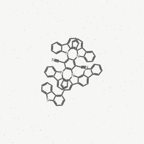 N#Cc1c(-n2c3ccccc3c3ccccc32)c(-n2c3ccccc3c3ccccc32)c(C#N)c(-n2c3ccc(-c4cccc5sc6ccccc6c45)cc3c3ccc4c5ccccc5sc4c32)c1-n1c2ccccc2c2ccccc21